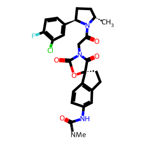 CNC(=O)Nc1ccc2c(c1)CC[C@@]21OC(=O)N(CC(=O)N2[C@@H](c3ccc(F)c(Cl)c3)CC[C@@H]2C)C1=O